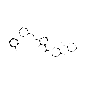 CO[C@H]1COCC[C@H]1NC1CCN(C(=O)c2nc(C)nc(NCC3CCC[C@@H](c4cccc(C)c4)O3)c2C)CC1